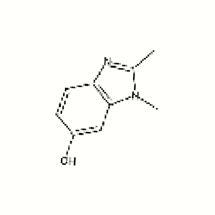 Cc1nc2ccc(O)cc2n1C